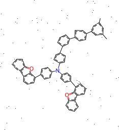 Cc1cc(C)cc(-c2ccc(-c3cccc(-c4ccc(N(c5ccc(-c6cccc7c6oc6ccccc67)cc5)c5ccc(-c6cccc7c6oc6ccccc67)cc5)cc4)c3)cc2)c1